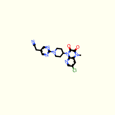 Cn1c(=O)c(=O)n(C2CCN(c3ncc(CC#N)cn3)CC2)c2ncc(Cl)cc21